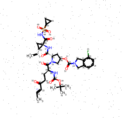 C=C[C@@H]1C[C@]1(NC(=O)[C@@H]1C[C@@H](OC(=O)N2Cc3cccc(F)c3C2)CN1C(=O)[C@H](CCC(=O)/C=C/C)NC(=O)OC(C)(C)C)C(=O)NS(=O)(=O)C1CC1